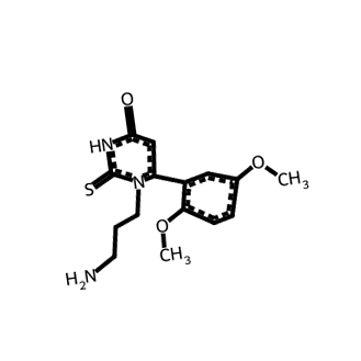 COc1ccc(OC)c(-c2cc(=O)[nH]c(=S)n2CCCN)c1